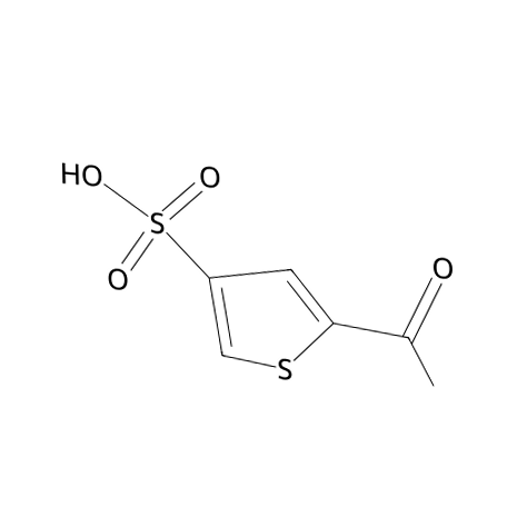 CC(=O)c1cc(S(=O)(=O)O)cs1